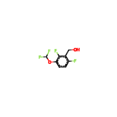 OCc1c(F)ccc(OC(F)F)c1F